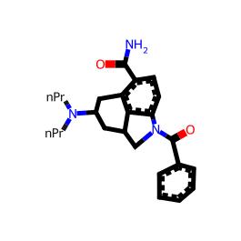 CCCN(CCC)C1Cc2c(C(N)=O)ccc3c2C(C1)CN3C(=O)c1ccccc1